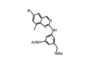 CNCc1cc(NC(C)=O)cc(Nc2ncc3cc(Br)cc(F)c3n2)c1